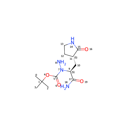 CC(C)(C)OC(=O)N(N)[C@@H](C[C@@H]1CCNC1=O)C(N)=O